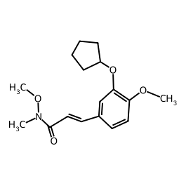 COc1ccc(C=CC(=O)N(C)OC)cc1OC1CCCC1